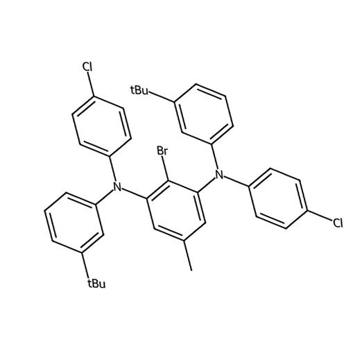 Cc1cc(N(c2ccc(Cl)cc2)c2cccc(C(C)(C)C)c2)c(Br)c(N(c2ccc(Cl)cc2)c2cccc(C(C)(C)C)c2)c1